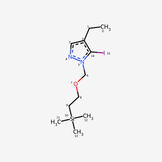 CCc1cnn(COCC[Si](C)(C)C)c1I